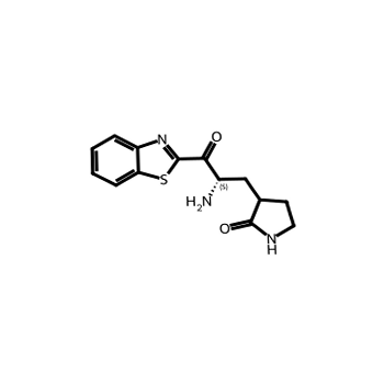 N[C@@H](CC1CCNC1=O)C(=O)c1nc2ccccc2s1